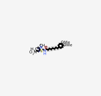 C=NC(=C/C)/C(=C\C[N+](=O)[O-])SCNC(=O)CCCCCCCC1=CC=C(OC)C(OC)=CC1